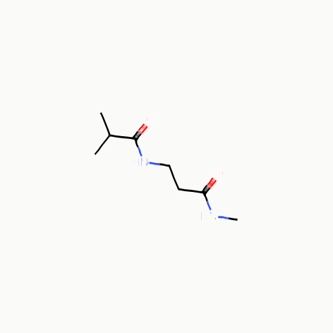 CNC(=O)CCNC(=O)C(C)C